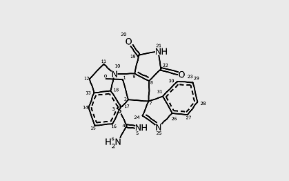 CCC(SC(=N)N)C1(C2=C(N3CCc4ccccc43)C(=O)NC2=O)C=Nc2ccccc21